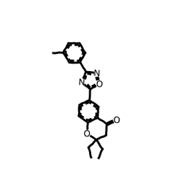 CCC1(CC)CC(=O)c2cc(-c3nc(-c4cccc(C)c4)no3)ccc2O1